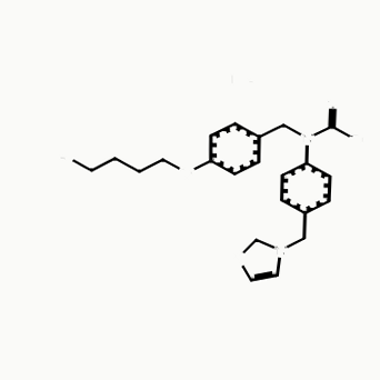 Br.CCCCCCCCCCCCCCOc1ccc(CN(C(=O)CC)c2ccc(CN3C=CSC3)cc2)cc1